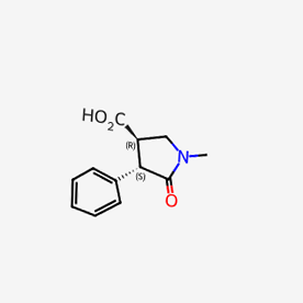 CN1C[C@H](C(=O)O)[C@@H](c2ccccc2)C1=O